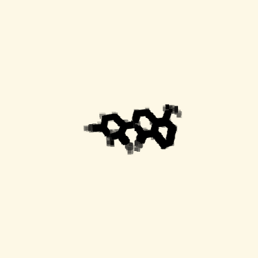 Nc1cccc2c1CCN(C1CCC(=O)NC1=O)C2=O